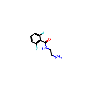 NCCNC(=O)c1c(F)cccc1F